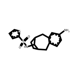 Nc1ccc2c(c1)CC1CCC(C2)C1NS(=O)(=O)c1cccs1